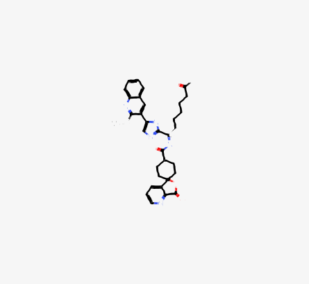 CCC(=O)CCCCC[C@@H](NC(=O)C1CCC2(CC1)OC(=O)c1ncccc12)c1ncc(-c2cc3ccccc3nc2OC)[nH]1